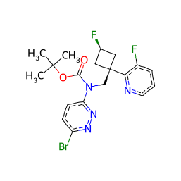 CC(C)(C)OC(=O)N(C[C@]1(c2ncccc2F)C[C@H](F)C1)c1ccc(Br)nn1